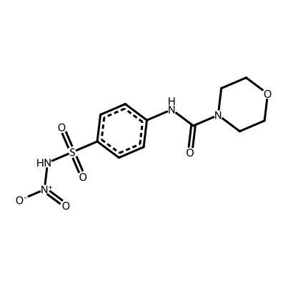 O=C(Nc1ccc(S(=O)(=O)N[N+](=O)[O-])cc1)N1CCOCC1